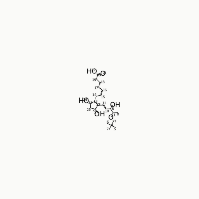 CC(OCC(C)(C)C)C(O)/C=C/[C@@H]1[C@@H](C/C=C\CCCC(=O)O)[C@@H](O)C[C@H]1O